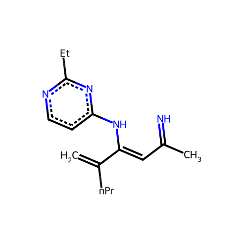 C=C(CCC)/C(=C/C(C)=N)Nc1ccnc(CC)n1